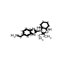 CC1(C)O[C@@H]2CCCC[C@H]2N1c1nc2ccc(CN)cc2s1